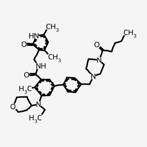 CCCCC(=O)N1CCN(Cc2ccc(-c3cc(C(=O)NCc4c(C)cc(C)[nH]c4=O)c(C)c(N(CC)C4CCOCC4)c3)cc2)CC1